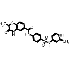 C=C1C=C(NS(=O)(=O)c2ccc(NC(=O)c3ccc4c(c3)NC(=O)C(C)S4)cc2)C=CN1